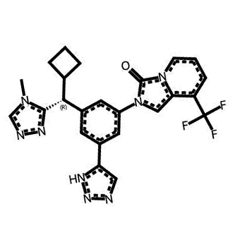 Cn1cnnc1[C@@H](c1cc(-c2cnn[nH]2)cc(-n2cc3c(C(F)(F)F)cccn3c2=O)c1)C1CCC1